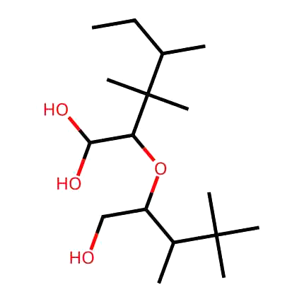 CCC(C)C(C)(C)C(OC(CO)C(C)C(C)(C)C)C(O)O